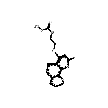 Cc1cc(OCCNC(=O)OC(C)(C)C)c2ccc3cccnc3c2n1